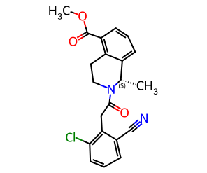 COC(=O)c1cccc2c1CCN(C(=O)Cc1c(Cl)cccc1C#N)[C@H]2C